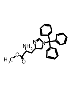 COC(=O)[C@@H](N)CC1CN(C(c2ccccc2)(c2ccccc2)c2ccccc2)C=N1